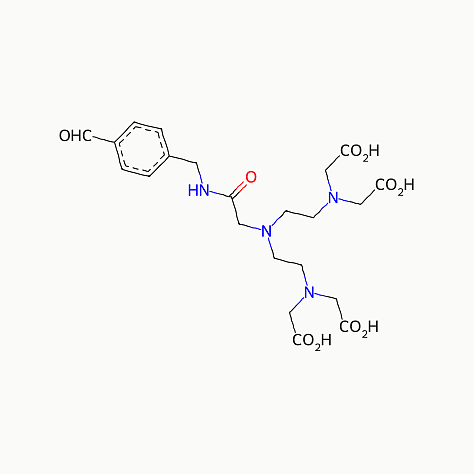 O=Cc1ccc(CNC(=O)CN(CCN(CC(=O)O)CC(=O)O)CCN(CC(=O)O)CC(=O)O)cc1